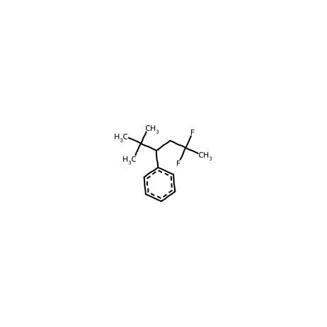 CC(F)(F)C[C](c1ccccc1)C(C)(C)C